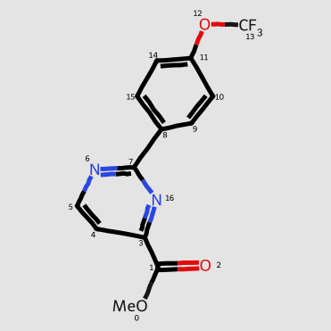 COC(=O)c1ccnc(-c2ccc(OC(F)(F)F)cc2)n1